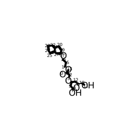 O=C(CO[C@@H]1CC(O)O[C@H](CO)C1)OCCCOc1ccc2ccccc2c1